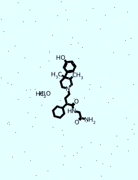 CC1CN(CCC(C(=O)NCC(N)=O)C2CCCCC2)CCC1(C)c1cccc(O)c1.Cl.O